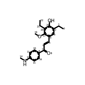 CCc1cc(/C=C/C(=O)c2ccc(NC)cc2)c(OC)c(CC)c1O